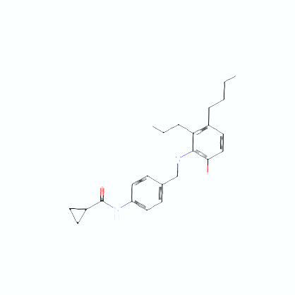 CCCCc1ccc(O)c(NCc2ccc(NC(=O)C3C[C@@H]3C)cc2)c1CCC